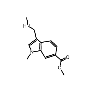 CNCc1cn(C)c2cc(C(=O)OC)ccc12